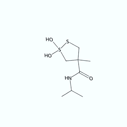 CC(C)NC(=O)C1(C)CSS(O)(O)C1